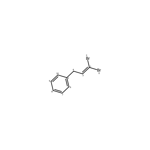 BrC(Br)=CCc1ccccc1